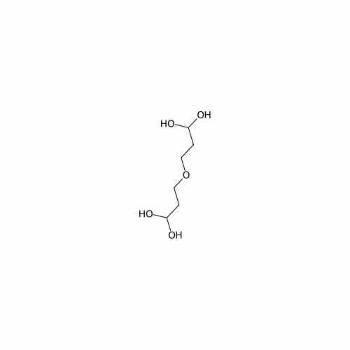 OC(O)CCOCCC(O)O